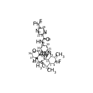 CC(C)C1C[C@@H](F)C(C)C(N)C1C1=N[C@@]2(c3cc(NC(=O)c4cnc(C(F)F)cn4)ccc3F)COCC[C@H]2CS1